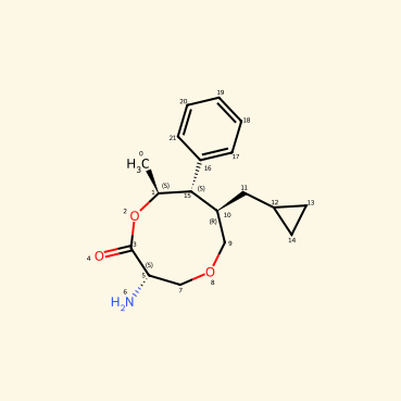 C[C@@H]1OC(=O)[C@@H](N)COC[C@H](CC2CC2)[C@H]1c1ccccc1